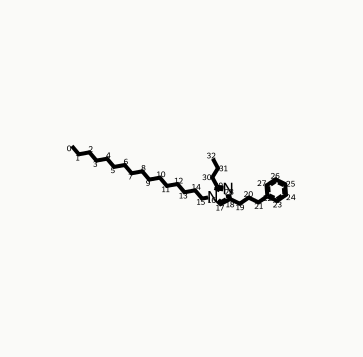 CCCCCCCCCCCCCCCCn1cc(CCCc2ccccc2)nc1CCC